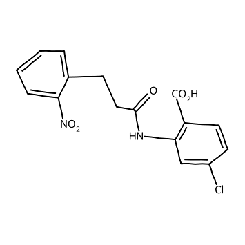 O=C(CCc1ccccc1[N+](=O)[O-])Nc1cc(Cl)ccc1C(=O)O